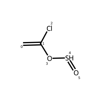 C=C(Cl)O[SH]=O